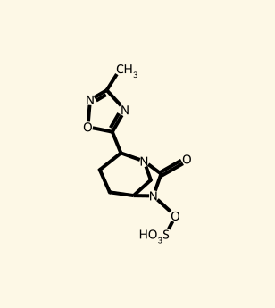 Cc1noc(C2CCC3CN2C(=O)N3OS(=O)(=O)O)n1